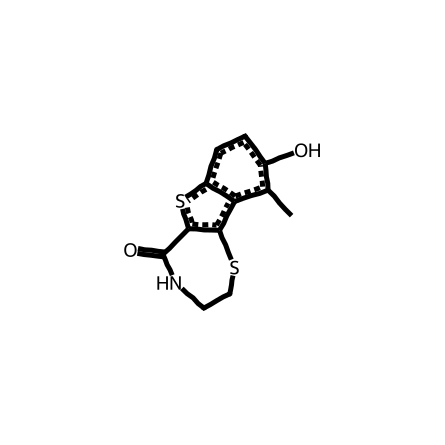 Cc1c(O)ccc2sc3c(c12)SCCNC3=O